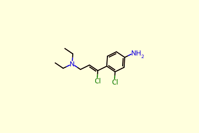 CCN(CC)C/C=C(\Cl)c1ccc(N)cc1Cl